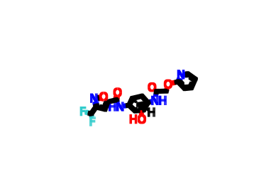 O=C(COc1ccccn1)NC12CCC(NC(=O)c3cc(C(F)F)no3)(CC1)C[C@@H]2O